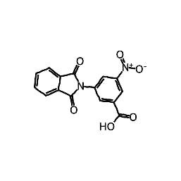 O=C(O)c1cc(N2C(=O)c3ccccc3C2=O)cc([N+](=O)[O-])c1